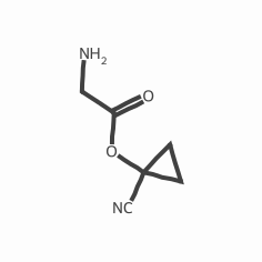 N#CC1(OC(=O)CN)CC1